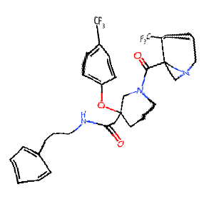 O=C(NCCc1ccccc1)C1(Oc2ccc(C(F)(F)F)cc2)CCCN(C(=O)C23CN2CC=C3C(F)(F)F)C1